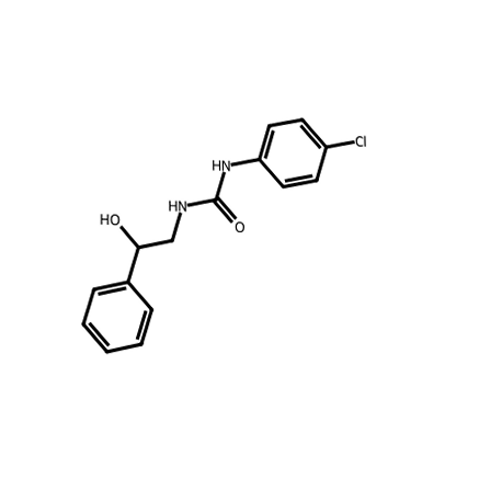 O=C(NCC(O)c1ccccc1)Nc1ccc(Cl)cc1